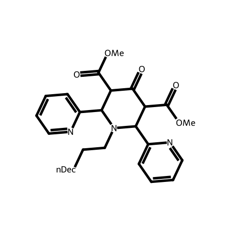 CCCCCCCCCCCCN1C(c2ccccn2)C(C(=O)OC)C(=O)C(C(=O)OC)C1c1ccccn1